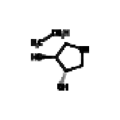 CC(=O)O.O[C@H]1CNC[C@@H]1O